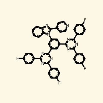 Fc1ccc(-c2nc(-c3ccc(F)cc3)nc(-c3cc(-c4nc(-c5ccc(F)cc5)nc(-c5ccc(F)cc5)n4)cc(-n4c(-c5ccncc5)nc5ccccc54)c3)n2)cc1